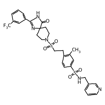 Cc1cc(S(=O)(=O)NCc2cccnc2)ccc1CCS(=O)(=O)N1CCC2(CC1)N=C(c1cccc(C(F)(F)F)c1)NC2=O